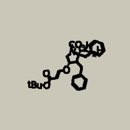 CC(C)(C)OC(=O)/C=C/O[C@@H]1CN(C(=O)O)[C@](Cc2ccccc2)(C(=O)O)C1Cc1ccccc1